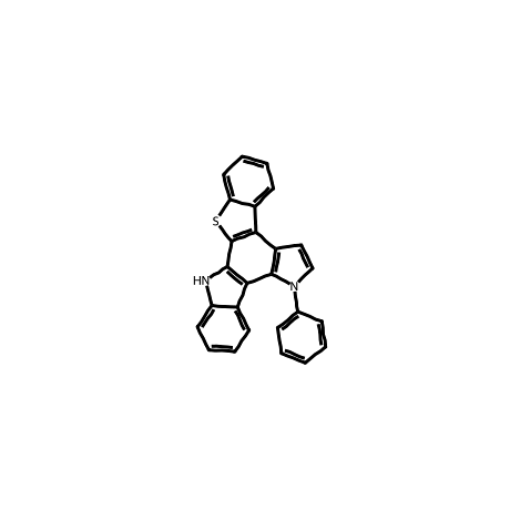 c1ccc(-n2ccc3c4c5ccccc5sc4c4[nH]c5ccccc5c4c32)cc1